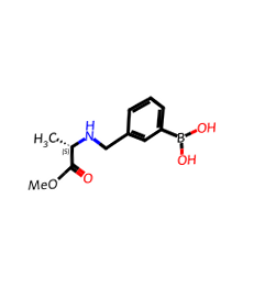 COC(=O)[C@H](C)NCc1cccc(B(O)O)c1